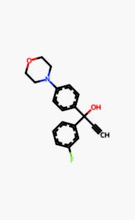 C#CC(O)(c1ccc(N2CCOCC2)cc1)c1cccc(F)c1